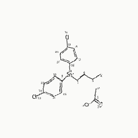 CC(=O)[O-].CCC[CH2][Sn+]([c]1ccc(Cl)cc1)[c]1ccc(Cl)cc1